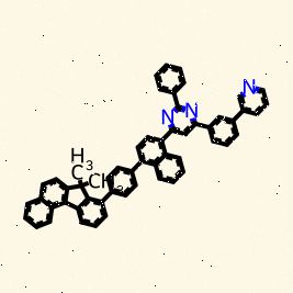 CC1(C)c2ccc3ccccc3c2-c2cccc(-c3ccc(-c4ccc(-c5cc(-c6cccc(-c7cccnc7)c6)nc(-c6ccccc6)n5)c5ccccc45)cc3)c21